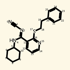 N#C/N=C(\NC1CCCCC1)c1cccnc1SCCc1ccccc1